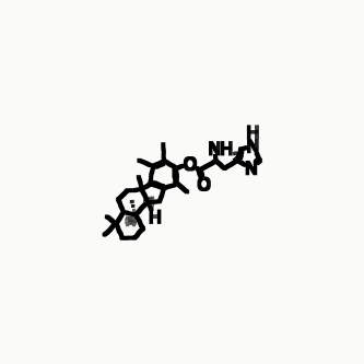 Cc1c(C)c2c(c(C)c1OC(=O)C(N)Cc1c[nH]cn1)C[C@H]1C2(C)CCC2C(C)(C)CCC[C@@]21C